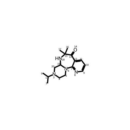 CC(C)N1CCN2c3ncccc3C(=O)C(C)(C)NC2C1